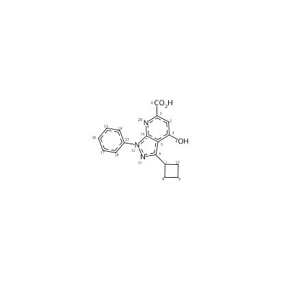 O=C(O)c1cc(O)c2c(C3CCC3)nn(-c3ccccc3)c2n1